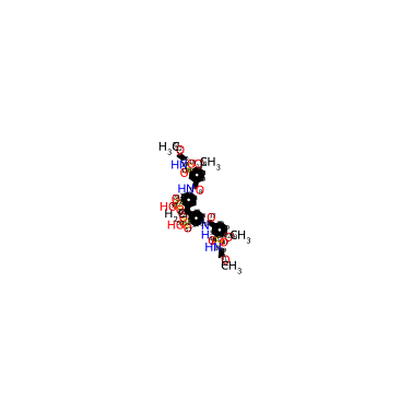 C=C(c1ccc(NC(=O)c2ccc(OC)c(S(=O)(=O)NCCOC)c2)cc1S(=O)(=O)O)c1ccc(NC(=O)c2ccc(OC)c(S(=O)(=O)NCCOC)c2)cc1S(=O)(=O)O